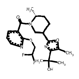 Cc1oc(C2CC[C@@H](C)N(C(=O)c3cccnc3OCC(F)F)C2)nc1C(C)(C)O